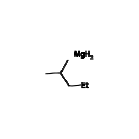 CCC[C](C)C.[MgH2]